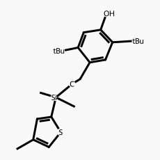 Cc1csc([Si](C)(C)CCc2cc(C(C)(C)C)c(O)cc2C(C)(C)C)c1